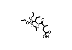 CCO[Si](OCC)(OCC)C(CC)NC(=O)C(C)CC(=O)O